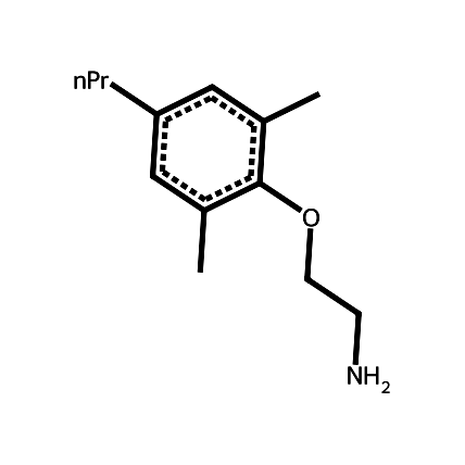 CCCc1cc(C)c(OCCN)c(C)c1